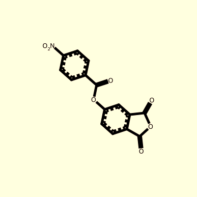 O=C(Oc1ccc2c(c1)C(=O)OC2=O)c1ccc([N+](=O)[O-])cc1